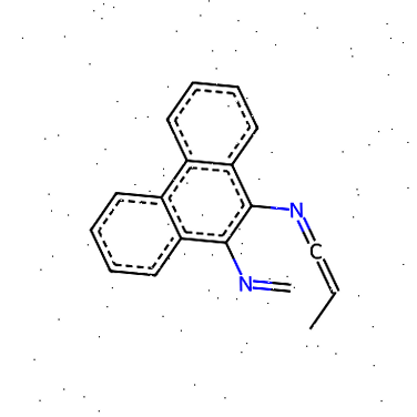 C=Nc1c(N=C=CC)c2ccccc2c2ccccc12